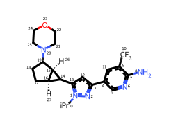 CC(C)n1nc(-c2cnc(N)c(C(F)(F)F)c2)cc1C1[C@H]2[C@@H]1CC[C@H]2N1CCOCC1